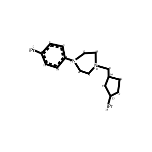 CC(C)c1ccc(N2CCN(CC3CCC(C(C)C)C3)CC2)cc1